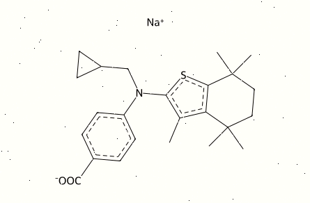 Cc1c(N(CC2CC2)c2ccc(C(=O)[O-])cc2)sc2c1C(C)(C)CCC2(C)C.[Na+]